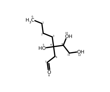 CCCCC(O)(CC=O)C(O)CO